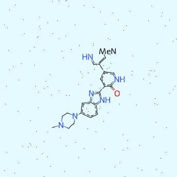 CN/C=C(\C=N)c1c[nH]c(=O)c(-c2nc3cc(N4CCN(C)CC4)ccc3[nH]2)c1